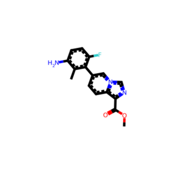 COC(=O)c1ncn2cc(-c3c(F)ccc(N)c3C)ccc12